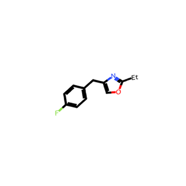 CCc1nc(Cc2ccc(F)cc2)co1